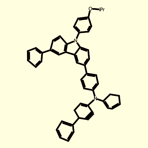 CC(C)Oc1ccc(-n2c3ccc(-c4ccccc4)cc3c3cc(-c4ccc(N(C5=CCC(c6ccccc6)C#C5)C5=CC=CCC5)cc4)ccc32)cc1